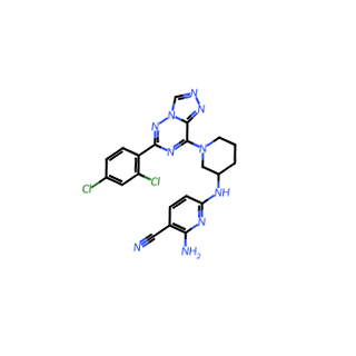 N#Cc1ccc(NC2CCCN(c3nc(-c4ccc(Cl)cc4Cl)nn4cnnc34)C2)nc1N